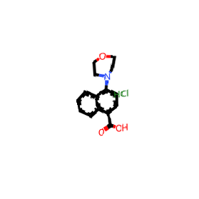 Cl.O=C(O)c1ccc(N2CCOCC2)c2ccccc12